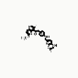 COc1ccc2ncc(F)c(C(O)CC34CCC(NCc5ccc6c(n5)OC(=O)CN6)(CC3)CS4)c2n1